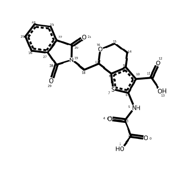 O=C(O)C(=O)Nc1sc2c(c1C(=O)O)CCOC2CN1C(=O)c2ccccc2C1=O